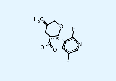 C=C1CO[C@H](c2cc(F)cnc2F)[C@@H]([N+](=O)[O-])C1